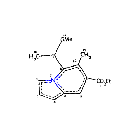 CCOC(=O)c1cc2cccn2c(C(C)OC)c1C